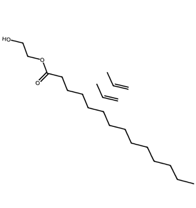 C=CC.C=CC.CCCCCCCCCCCCCC(=O)OCCO